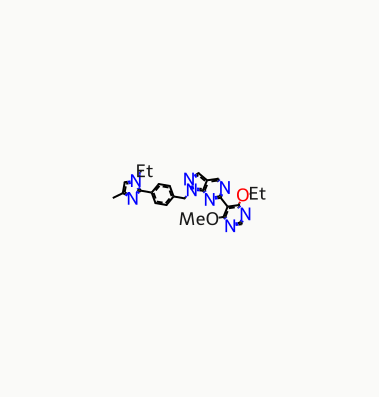 CCOc1ncnc(OC)c1-c1ncc2cnn(Cc3ccc(-c4nc(C)cn4CC)cc3)c2n1